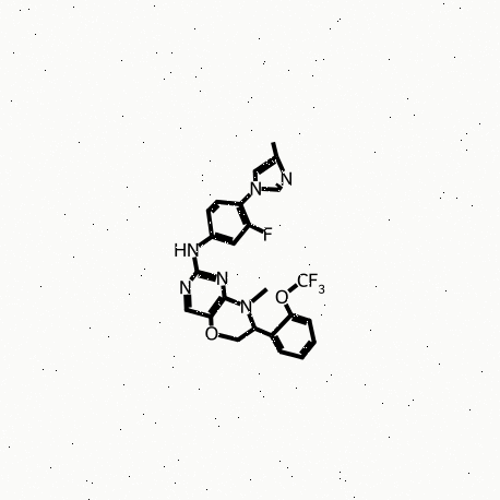 Cc1cn(-c2ccc(Nc3ncc4c(n3)N(C)C(c3ccccc3OC(F)(F)F)CO4)cc2F)cn1